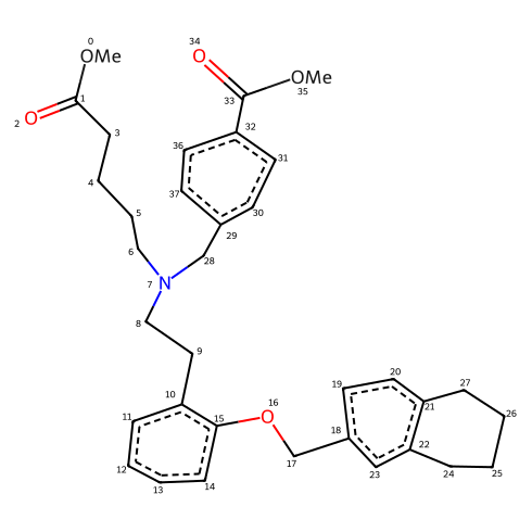 COC(=O)CCCCN(CCc1ccccc1OCc1ccc2c(c1)CCCC2)Cc1ccc(C(=O)OC)cc1